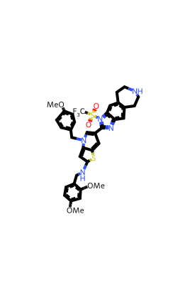 COc1ccc(CN2C=C(c3nc4cc5c(cc4n3S(=O)(=O)C(F)(F)F)CCNCC5)C=C3SC(NCc4ccc(OC)cc4OC)C=C32)cc1